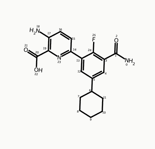 NC(=O)c1cc(C2CCCCC2)cc(-c2ccc(N)c(C(=O)O)n2)c1F